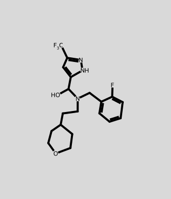 OC(c1cc(C(F)(F)F)n[nH]1)N(CCC1CCOCC1)Cc1ccccc1F